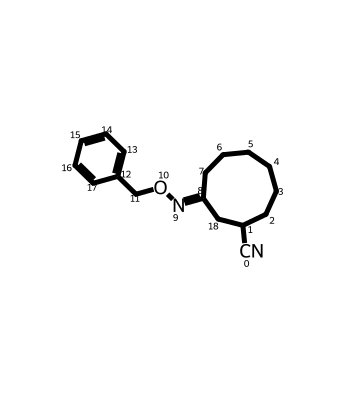 N#CC1CCCCCCC(=NOCc2ccccc2)C1